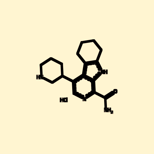 Cl.NC(=O)c1ncc(C2CCCNC2)c2c3c([nH]c12)CCCC3